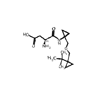 CC(C)(C)C1(COCC2(NC(=O)[C@@H](N)CC(=O)O)CC2)CC1